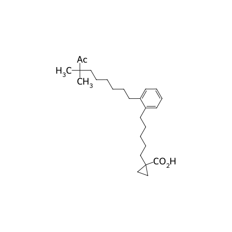 CC(=O)C(C)(C)CCCCCCc1ccccc1CCCCCC1(C(=O)O)CC1